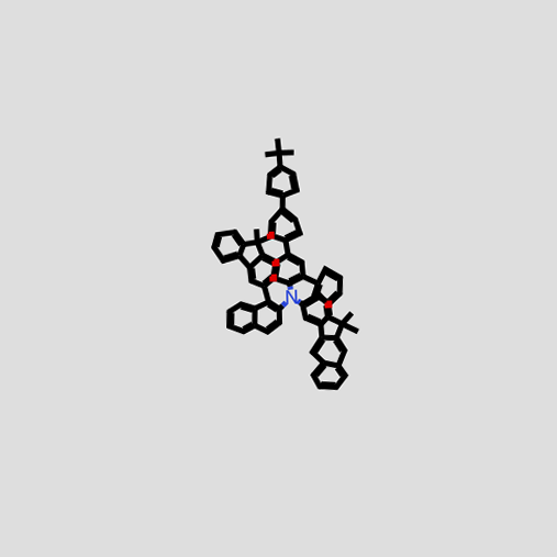 CC(C)(C)c1ccc(-c2ccc(-c3ccc(N(c4ccc5c(c4)-c4cc6ccccc6cc4C5(C)C)c4ccc5ccccc5c4-c4ccc5c(c4)-c4ccccc4C5(C)C)c(-c4ccccc4)c3)cc2)cc1